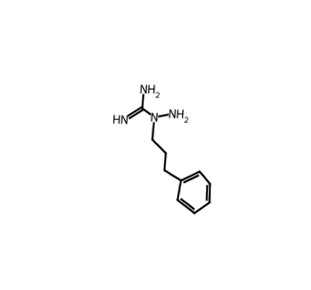 N=C(N)N(N)CCCc1ccccc1